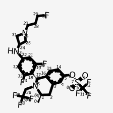 C[C@@H]1Cc2cc(OS(=O)(=O)C(F)(F)F)ccc2[C@@H](c2c(F)cc(NC3CN(CCCF)C3)cc2F)N1CC(F)(F)F